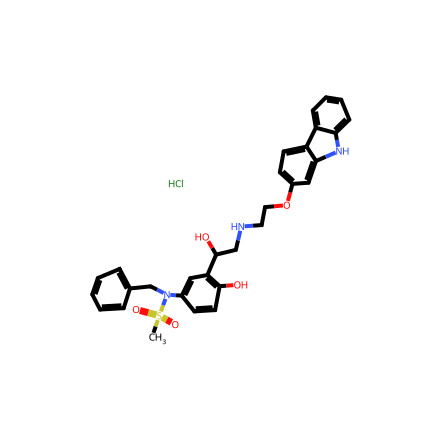 CS(=O)(=O)N(Cc1ccccc1)c1ccc(O)c(C(O)CNCCOc2ccc3c(c2)[nH]c2ccccc23)c1.Cl